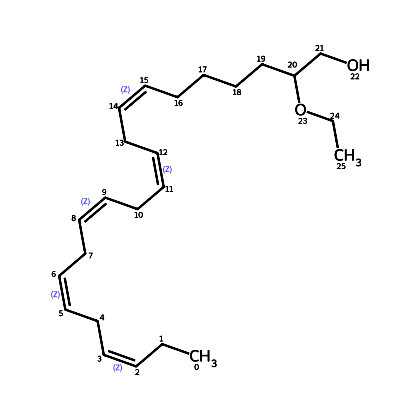 CC/C=C\C/C=C\C/C=C\C/C=C\C/C=C\CCCCC(CO)OCC